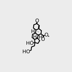 COC(=O)C1CC2=CC(=O)CC[C@]2(C)[C@@H]2CC[C@@]3(C)[C@@H](CCC3(O)CCCO)[C@H]12